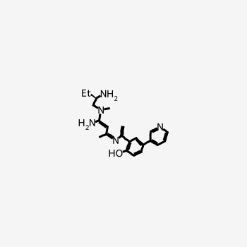 C=C(/N=C(C)\C=C(/N)N(C)C[C@H](N)CC)c1cc(-c2cccnc2)ccc1O